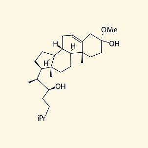 CO[C@]1(O)CC[C@@]2(C)C(=CC[C@H]3[C@@H]4CC[C@H]([C@H](C)[C@@H](O)CCC(C)C)[C@@]4(C)CC[C@@H]32)C1